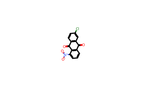 O=C1c2cc(Cl)ccc2C(=O)c2c1cccc2[N+](=O)[O-]